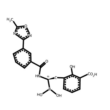 Cc1nc(-c2cccc(C(=O)N[C@@H](Cc3cccc(C(=O)O)c3O)B(O)O)c2)no1